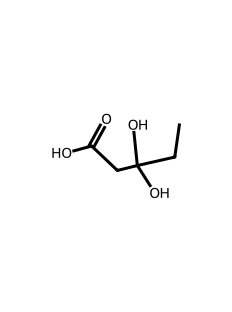 CCC(O)(O)CC(=O)O